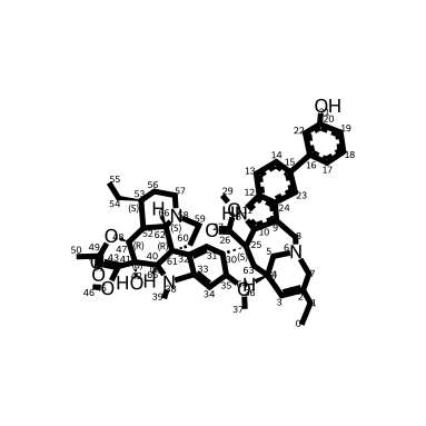 CCC1=C[C@H]2CN(C1)Cc1c([nH]c3ccc(-c4cccc(O)c4)cc13)[C@@](C(=O)OC)(C1C=C3C(=CC1OC)N(C)[C@H]1[C@@](O)(C(=O)OC)[C@H](OC(C)=O)C4[C@@H](CC)CCN5CC[C@]31[C@H]45)C2